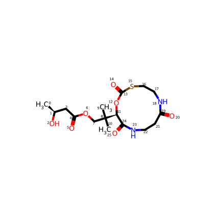 C[C@H](O)CC(=O)OCC(C)(C)[C@H]1OC(=O)SCCNC(=O)CCNC1=O